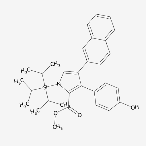 COC(=O)c1c(-c2ccc(O)cc2)c(-c2ccc3ccccc3c2)cn1[Si](C(C)C)(C(C)C)C(C)C